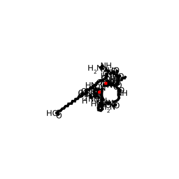 CCCC[C@H](NC(=O)[C@H](CO)NC(=O)[C@H](CCCNC(=N)N)NC(=O)COCCOCCNC(=O)CCCS(=O)(=O)NC(=O)CCCCCCCCCCCCCCC(=O)O)C(=O)N[C@H]1CCC(=O)NCCCC[C@@H](C(N)=O)NC(=O)[C@H](Cc2c[nH]c3ccccc23)NC(=O)[C@H](CCCNC(=N)N)NC(=O)[C@@H](Cc2ccccc2)NC(=O)[C@@H]2C[C@@H](O)CN2C1=O